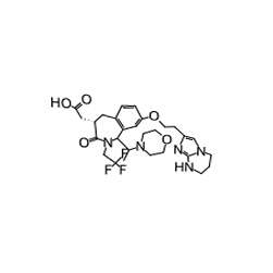 CC(C1c2cc(OCCc3cn4c(n3)NCCC4)ccc2C[C@@H](CC(=O)O)C(=O)N1CC(F)(F)F)N1CCOCC1